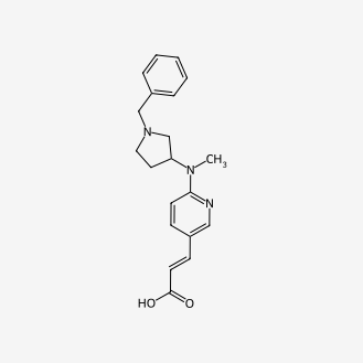 CN(c1ccc(/C=C/C(=O)O)cn1)C1CCN(Cc2ccccc2)C1